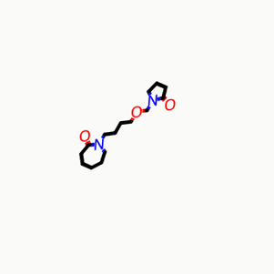 O=C1CCCCCN1CCCCOCN1CCCC1=O